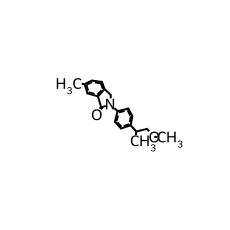 COCC(C)c1ccc(N2Cc3ccc(C)cc3C2=O)cc1